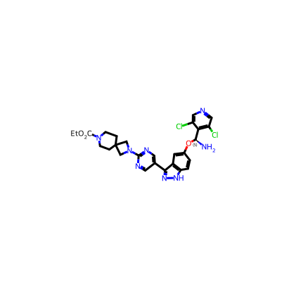 CCOC(=O)N1CCC2(CC1)CN(c1ncc(-c3n[nH]c4ccc(O[C@H](N)c5c(Cl)cncc5Cl)cc34)cn1)C2